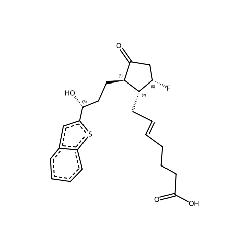 O=C(O)CCCC=CC[C@H]1[C@@H](F)CC(=O)[C@@H]1CC[C@@H](O)c1cc2ccccc2s1